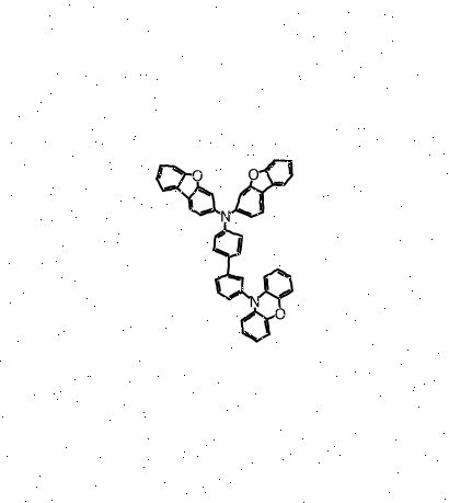 c1cc(-c2ccc(N(c3ccc4c(c3)oc3ccccc34)c3ccc4c(c3)oc3ccccc34)cc2)cc(N2c3ccccc3Oc3ccccc32)c1